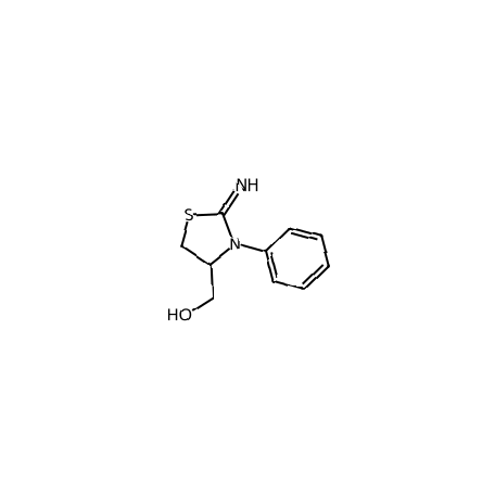 N=C1SCC(CO)N1c1ccccc1